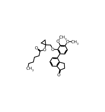 CCCCCC(=O)OC1(COc2c(-c3cccc4c3CCC4=O)ccc(OC)c2OC)CC1